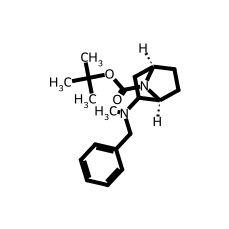 CN(Cc1ccccc1)C1C[C@H]2CC[C@@H]1N2C(=O)OC(C)(C)C